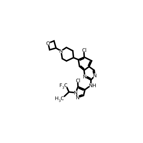 CC(n1ncc(Nc2ncc3cc(Cl)c(C4CCN(C5COC5)CC4)cc3n2)c1Cl)C(F)(F)F